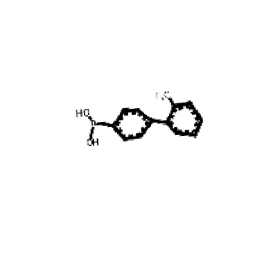 OB(O)c1ccc(-c2ccccc2C(F)(F)F)cc1